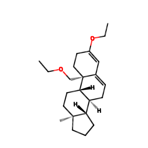 CCOC[C@]12CCC(OCC)=CC1=CC[C@H]1[C@@H]3CCC[C@@]3(C)CC[C@@H]12